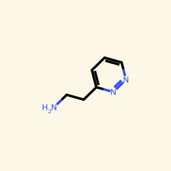 NCCc1cccnn1